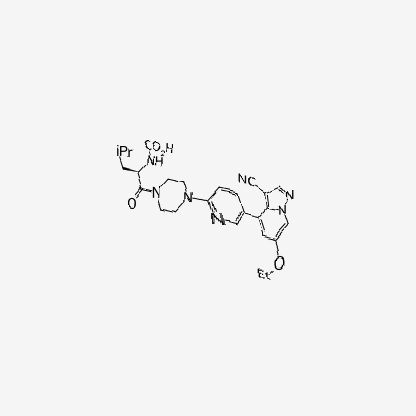 CCOc1cc(-c2ccc(N3CCN(C(=O)[C@@H](CC(C)C)NC(=O)O)CC3)nc2)c2c(C#N)cnn2c1